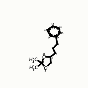 CC1(C)OCC(CCCc2ccccc2)O1